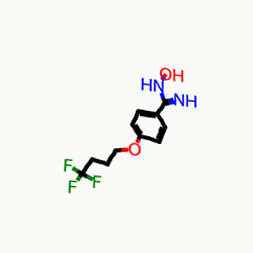 N=C(NO)c1ccc(OCCCC(F)(F)F)cc1